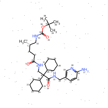 C[C@@H](CCC(=O)NCC(C(=O)NCc1ccc(N)nc1)(C1CCCCC1)C1CCCCC1)CNC(=O)OC(C)(C)C